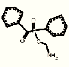 NCOP(=O)(C(=O)c1ccccc1)c1ccccc1